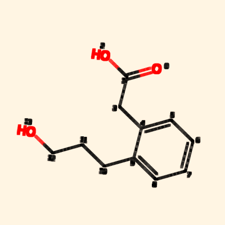 O=C(O)Cc1ccccc1CCCO